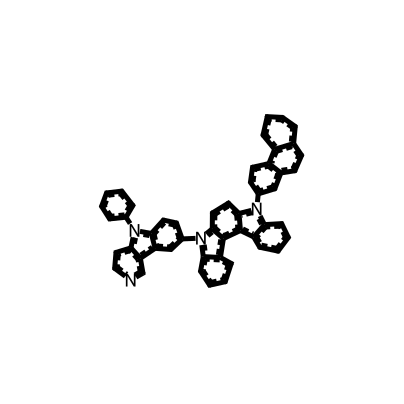 c1ccc(-n2c3ccncc3c3cc(-n4c5ccccc5c5c6c7ccccc7n(-c7ccc8c(ccc9ccccc98)c7)c6ccc54)ccc32)cc1